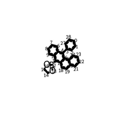 c1ccc(-c2c3ccccc3c(B3OCCO3)c3ccc4ccccc4c23)cc1